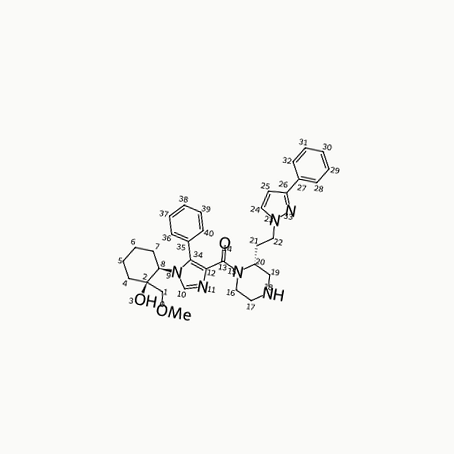 COC[C@]1(O)CCCC[C@H]1n1cnc(C(=O)N2CCNC[C@H]2CCn2ccc(-c3ccccc3)n2)c1-c1ccccc1